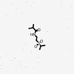 CC(C)C(=O)NCCS(=O)(=O)C(C)C